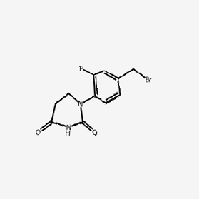 O=C1CCN(c2ccc(CBr)cc2F)C(=O)N1